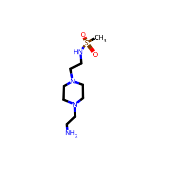 CS(=O)(=O)NCCN1CCN(CCN)CC1